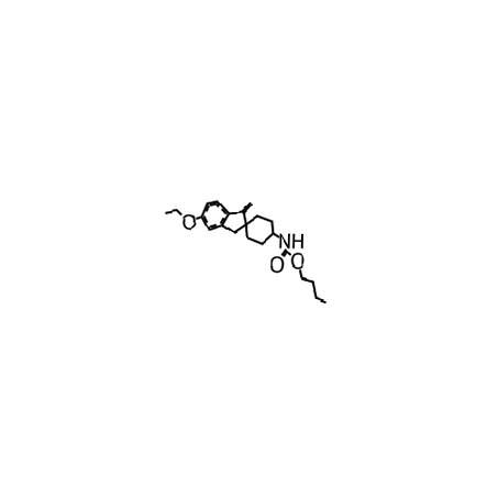 C=C1c2ccc(OCC)cc2CC12CCC(NC(=O)OCCCC)CC2